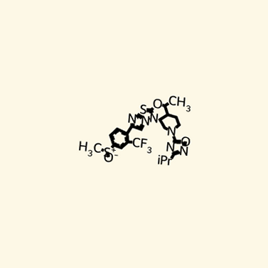 CC(C)c1noc(N2CCC(C(C)Oc3nn4cc(-c5ccc([S+](C)[O-])cc5C(F)(F)F)nc4s3)CC2)n1